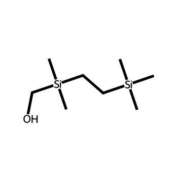 C[Si](C)(C)CC[Si](C)(C)CO